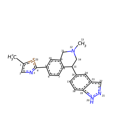 Cc1cnc(-c2ccc3c(c2)CN(C)CC3c2ccc3[nH]ncc3c2)s1